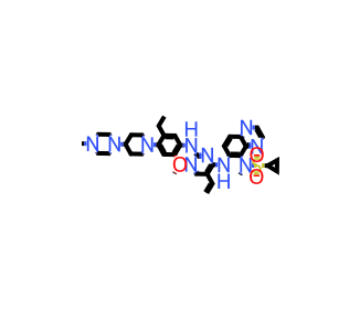 C=Cc1cnc(Nc2cc(CC)c(N3CCC(N4CCN(C)CC4)CC3)cc2OC)nc1Nc1ccc2nccnc2c1N(C)S(=O)(=O)C1CC1